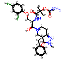 CN1N=C2CCN(C(=O)[C@@H](COc3ccc(F)cc3F)NC(=O)C(C)(C)OC(N)=O)C[C@@]2(Cc2ccccc2)C1=O